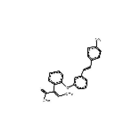 CO/C=C(/C(=O)OC)c1ccccc1Oc1cccc(/C=C/c2ccc([N+](=O)[O-])cc2)c1